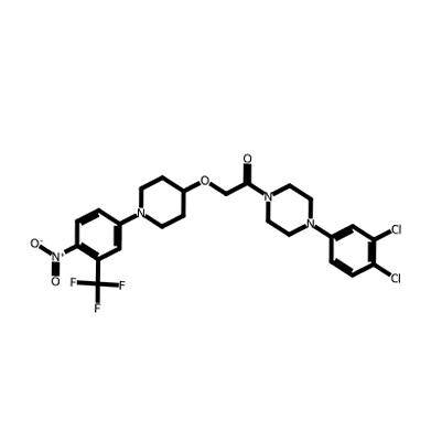 O=C(COC1CCN(c2ccc([N+](=O)[O-])c(C(F)(F)F)c2)CC1)N1CCN(c2ccc(Cl)c(Cl)c2)CC1